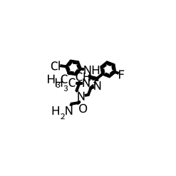 Cc1cc(Nc2c(-c3cccc(F)c3)nc3n2C(C)(C)CN(C(=O)CN)C3)ccc1Cl